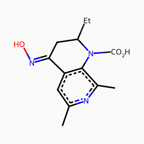 CCC1CC(=NO)c2cc(C)nc(C)c2N1C(=O)O